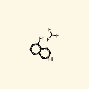 CCc1cccc2ccccc12.FC(F)F.I